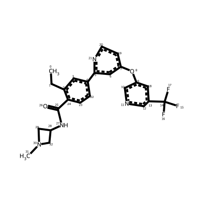 CCc1cc(-c2cc(Oc3cncc(C(F)(F)F)c3)ccn2)ccc1C(=O)NC1CN(C)C1